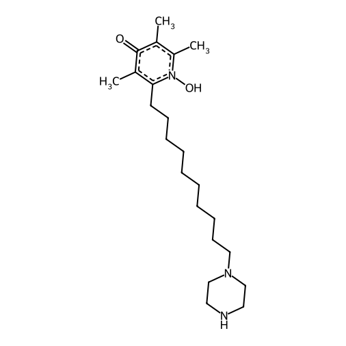 Cc1c(C)n(O)c(CCCCCCCCCCN2CCNCC2)c(C)c1=O